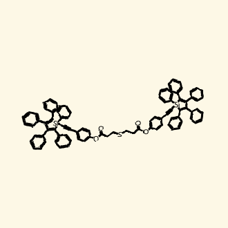 O=C(CCSCCC(=O)Oc1ccc(C#C[Si]2(c3ccccc3)C(c3ccccc3)=C(c3ccccc3)C(c3ccccc3)=C2c2ccccc2)cc1)Oc1ccc(C#C[Si]2(c3ccccc3)C(c3ccccc3)=C(c3ccccc3)C(c3ccccc3)=C2c2ccccc2)cc1